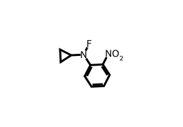 O=[N+]([O-])c1ccccc1N(F)C1CC1